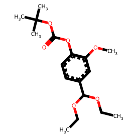 CCOC(OCC)c1ccc(OC(=O)OC(C)(C)C)c(OC)c1